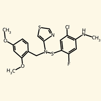 CNc1cc(F)c(SN(Cc2ccc(OC)cc2OC)c2cscn2)cc1Cl